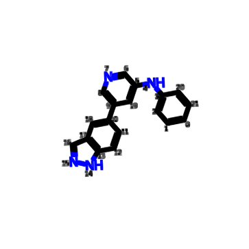 c1ccc(Nc2cncc(-c3ccc4[nH]ncc4c3)c2)cc1